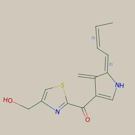 C=c1c(C(=O)c2nc(CO)cs2)c[nH]/c1=C/C=C\C